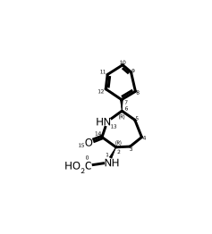 O=C(O)N[C@@H]1CCC[C@H](c2ccccc2)NC1=O